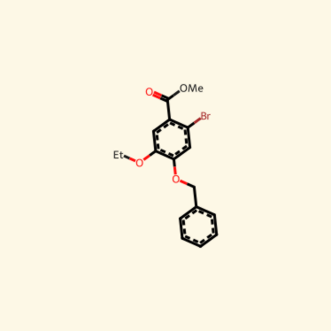 CCOc1cc(C(=O)OC)c(Br)cc1OCc1ccccc1